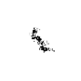 COc1cc(F)cc(C(CO)NC(=O)C(C)N2Cc3ccc(-c4nc(Nc5cc(C)no5)ncc4Cl)cc3C2=O)c1